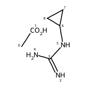 CC(=O)O.N=C(N)NC1CC1